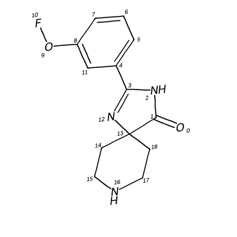 O=C1NC(c2cccc(OF)c2)=NC12CCNCC2